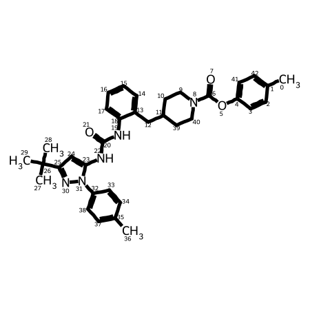 Cc1ccc(OC(=O)N2CCC(Cc3ccccc3NC(=O)Nc3cc(C(C)(C)C)nn3-c3ccc(C)cc3)CC2)cc1